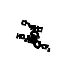 FC(F)(F)c1cccc(-[n+]2cc(Cl)c(NCCCl)cn2)c1.O=S(=O)(O)O